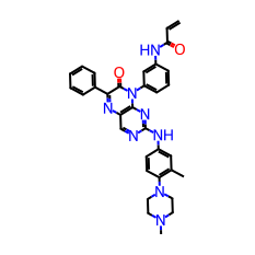 C=CC(=O)Nc1cccc(-n2c(=O)c(-c3ccccc3)nc3cnc(Nc4ccc(N5CCN(C)CC5)c(C)c4)nc32)c1